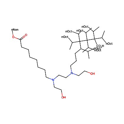 CCCCCCCCCOC(=O)CCCCCCCN(CCO)CCN(CCO)CCCC(C(C)CCCCCCCC)C(C(C)CCCCCCCC)(C(C)CCCCCCCC)C(C(C)CCCCCCCC)(C(C)CCCCCCCC)C(C(=O)O)(C(C)CCCCCCCC)C(C)CCCCCCCC